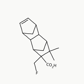 CC1(C)C2CC(C3C4C=CC(C4)C32)C1(CF)C(=O)O